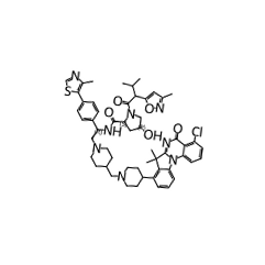 Cc1cc(C(C(=O)N2C[C@H](O)C[C@H]2C(=O)N[C@@H](CN2CCC(CN3CCC(c4cccc5c4C(C)(C)c4nc(=O)c6c(Cl)cccc6n4-5)CC3)CC2)c2ccc(-c3scnc3C)cc2)C(C)C)on1